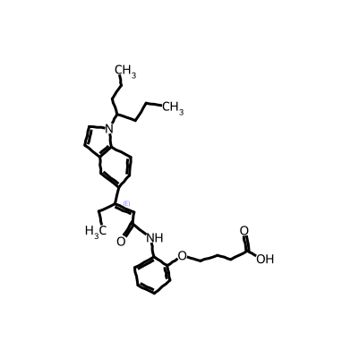 CCCC(CCC)n1ccc2cc(/C(=C/C(=O)Nc3ccccc3OCCCC(=O)O)CC)ccc21